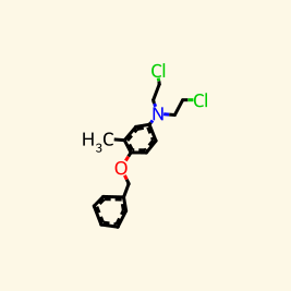 Cc1cc(N(CCCl)CCCl)ccc1OCc1ccccc1